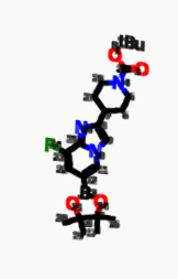 CC(C)(C)OC(=O)N1CCC(c2cn3cc(B4OC(C)(C)C(C)(C)O4)cc(F)c3n2)CC1